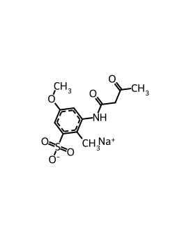 COc1cc(NC(=O)CC(C)=O)c(C)c(S(=O)(=O)[O-])c1.[Na+]